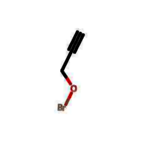 C#CCOBr